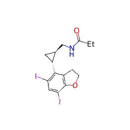 CCC(=O)NC[C@@H]1C[C@H]1c1c(I)cc(I)c2c1CCO2